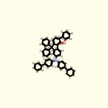 C1=CCCC(c2ccc(N(c3ccc(-c4ccccc4)cc3)c3ccc4c(c3)C(c3ccccc3)(c3ccccc3)c3ccc5c(oc6ccccc65)c3-4)cc2)=C1